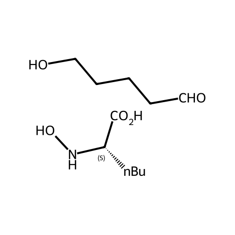 CCCC[C@H](NO)C(=O)O.O=CCCCCO